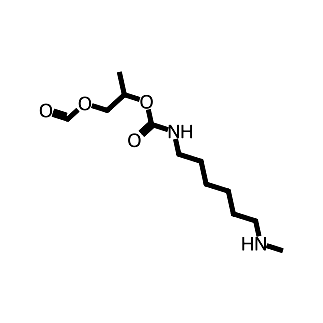 CNCCCCCCNC(=O)OC(C)COC=O